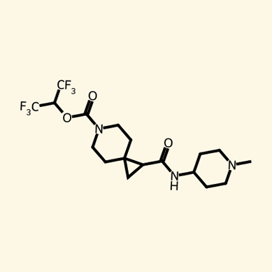 CN1CCC(NC(=O)C2CC23CCN(C(=O)OC(C(F)(F)F)C(F)(F)F)CC3)CC1